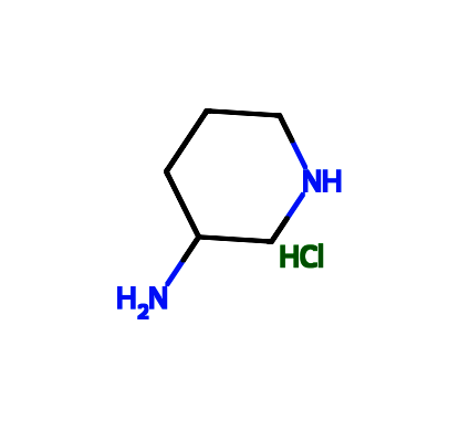 Cl.NC1CCCNC1